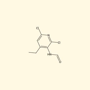 CCc1cc(Cl)nc(Cl)c1NC=O